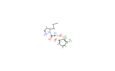 CCCC1CC=NN1C(=O)NS(=O)(=O)c1cccc(Cl)c1Cl